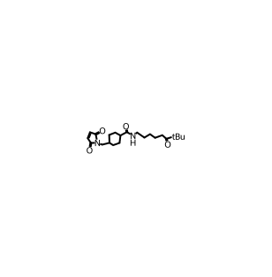 CC(C)(C)C(=O)CCCCCNC(=O)C1CCC(CN2C(=O)C=CC2=O)CC1